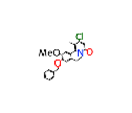 COc1cc2c(cc1OCc1ccccc1)CCn1c-2c(C)c(Cl)cc1=O